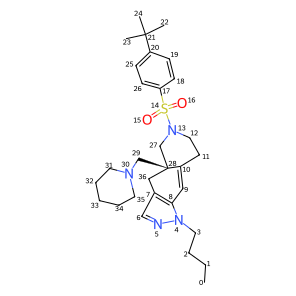 CCCCn1ncc2c1C=C1CCN(S(=O)(=O)c3ccc(C(C)(C)C)cc3)C[C@@]1(CN1CCCCC1)C2